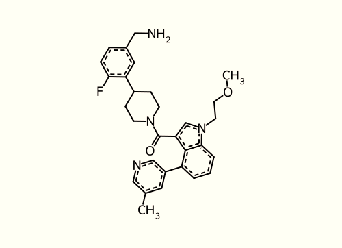 COCCn1cc(C(=O)N2CCC(c3cc(CN)ccc3F)CC2)c2c(-c3cncc(C)c3)cccc21